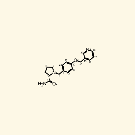 NC(=O)[C@@H]1CCCN1Cc1ccc(OCc2cccnc2)cc1